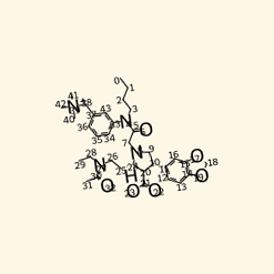 CCCCN(C(=O)CN1C[C@H](c2ccc3c(c2)OCO3)[C@@H](C(=O)O)[C@@H]1CCN(CC)C(C)=O)c1cccc(C[N+](C)(C)C)c1